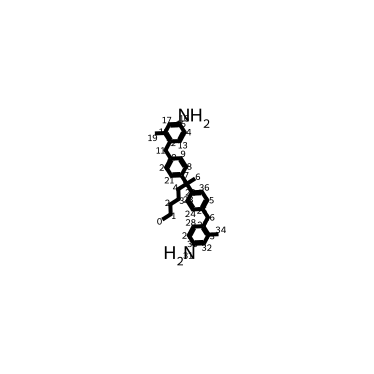 CCCCCC(C)(c1ccc(Cc2ccc(N)cc2C)cc1)c1ccc(Cc2ccc(N)cc2C)cc1